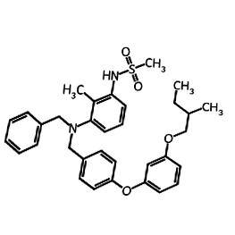 CCC(C)COc1cccc(Oc2ccc(CN(Cc3ccccc3)c3cccc(NS(C)(=O)=O)c3C)cc2)c1